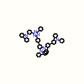 C1=CCC(n2c3ccccc3c3cc(-c4ccc5c(c4)c4ccccc4n5-c4cc(-c5ccc(-c6nc(-c7ccccc7)nc(-c7cccc(-n8c9ccccc9c9ccccc98)c7)n6)cc5)ccc4-n4c5ccccc5c5ccccc54)ccc32)C=C1